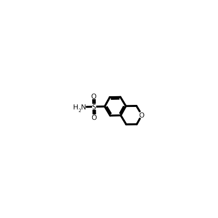 NS(=O)(=O)c1ccc2c(c1)CCOC2